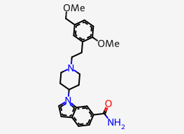 COCc1ccc(OC)c(CCN2CCC(n3ccc4ccc(C(N)=O)cc43)CC2)c1